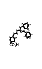 O=C(O)c1ccc(CCCC(Cc2ccccc2)OCc2ccccc2)cc1